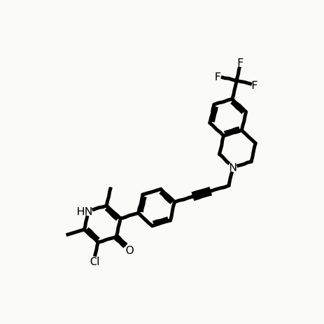 Cc1[nH]c(C)c(-c2ccc(C#CCN3CCc4cc(C(F)(F)F)ccc4C3)cc2)c(=O)c1Cl